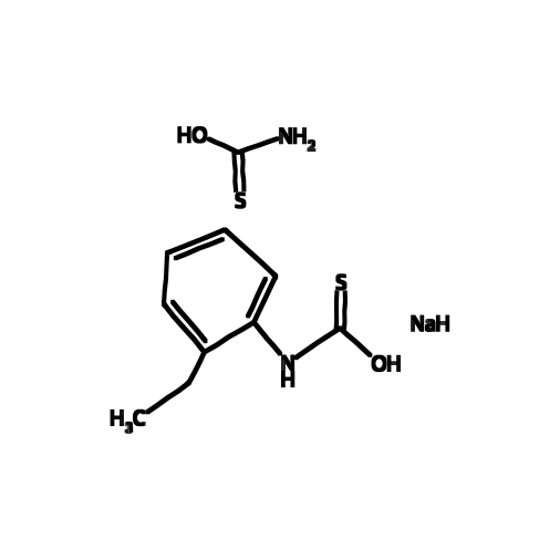 CCc1ccccc1NC(O)=S.NC(O)=S.[NaH]